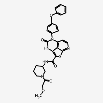 COCC(=O)N1CCC[C@@H](NC(=O)c2sc3nccc4c3c2NC(=O)N4c2ccc(Oc3ccccc3)cc2)C1